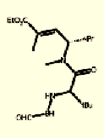 CCOC(=O)/C(C)=C/[C@H](C(C)C)N(C)C(=O)C(NBC=O)C(C)(C)C